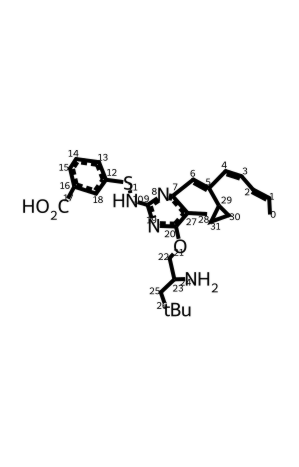 C/C=C/C=C\C(=C\c1nc(NSc2cccc(C(=O)O)c2)nc(OCC(N)CC(C)(C)C)c1C)C1CC1